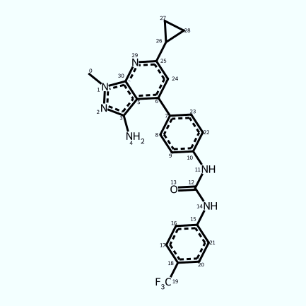 Cn1nc(N)c2c(-c3ccc(NC(=O)Nc4ccc(C(F)(F)F)cc4)cc3)cc(C3CC3)nc21